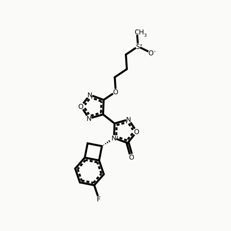 C[S+]([O-])CCCOc1nonc1-c1noc(=O)n1[C@H]1Cc2ccc(F)cc21